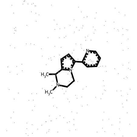 CC1c2ccc(-c3ccccn3)n2CCN1C